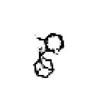 Fc1cccnc1CN1C2CC1CN(S)C2